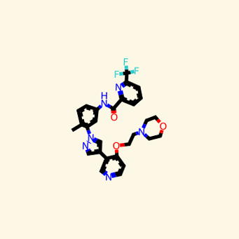 Cc1ccc(NC(=O)c2cccc(C(F)(F)F)n2)cc1-n1cc(-c2cnccc2OCCN2CCOCC2)cn1